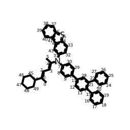 C/C(=C\C=C(/C)N(c1ccc(-c2ccc(-c3ccccc3)c(-c3ccccc3)c2)cc1)c1ccc2sc3ccccc3c2c1)C1CCCCC1